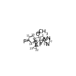 COC(Cn1cncn1)(c1ccc(F)cc1F)C(F)(F)SC1CC1